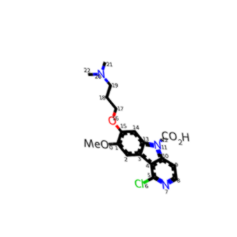 COc1cc2c3c(Cl)nccc3n(C(=O)O)c2cc1OCCCN(C)C